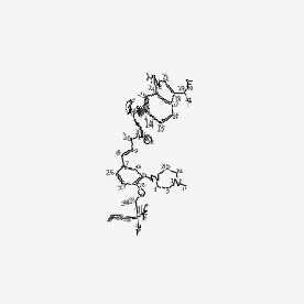 CN1CCN(c2cc(C=CCS(=O)(=O)c3ccc4c(C(F)F)c[nH]c4c3)ccc2OCC(F)(F)F)CC1